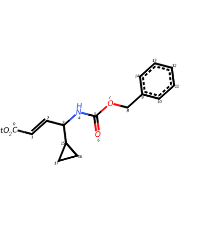 CCOC(=O)C=CC(NC(=O)OCc1ccccc1)C1CC1